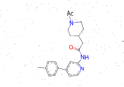 CC(=O)N1CCC(CC(=O)Nc2cc(-c3ccc(C)cc3)ccn2)CC1